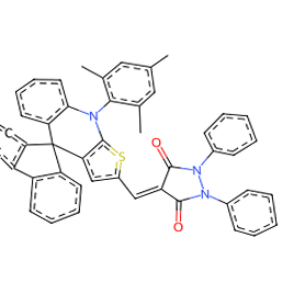 Cc1cc(C)c(N2c3ccccc3C3(c4ccccc4-c4ccccc43)c3cc(C=C4C(=O)N(c5ccccc5)N(c5ccccc5)C4=O)sc32)c(C)c1